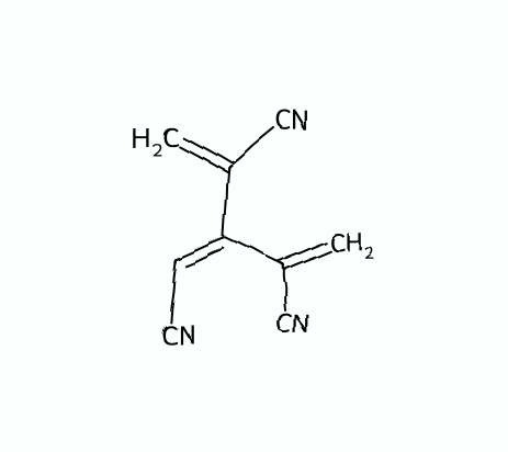 C=C(C#N)C(=CC#N)C(=C)C#N